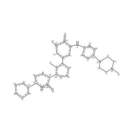 Cc1c(-c2cc(Nc3ccc(N4CCN(C)CC4)cn3)c(=O)n(C)c2)cccc1-c1ccc(-c2ccccc2)[nH]c1=O